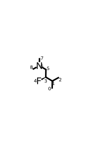 CC(C)[C@@H](F)CN(C)C